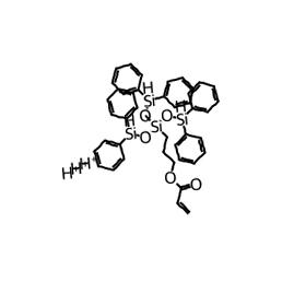 C=CC(=O)OCCC[Si](O[SiH](c1ccccc1)c1ccccc1)(O[SiH](c1ccccc1)c1ccccc1)O[SiH](c1ccccc1)c1ccccc1.[H+].[H+].[H+]